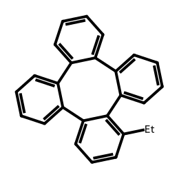 CCc1cccc2c1-c1ccccc1-c1ccccc1-c1ccccc1-2